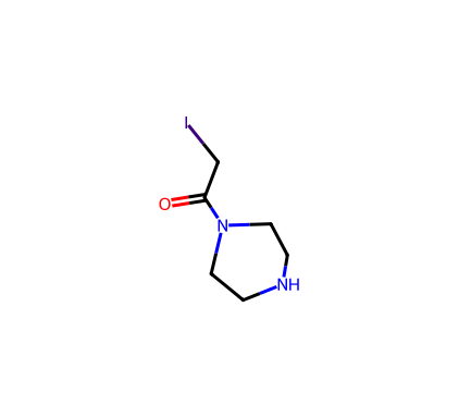 O=C(CI)N1CCNCC1